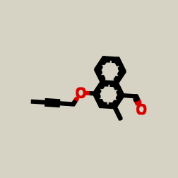 CC#CCOc1cc(C)c(C=O)c2ccccc12